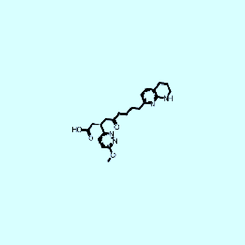 COc1ccc([C@@H](CC(=O)O)CC(=O)CCCCc2ccc3c(n2)NCCC3)nn1